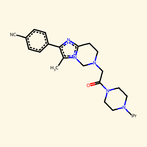 Cc1c(-c2ccc(C#N)cc2)nc2n1CN(CC(=O)N1CCN(C(C)C)CC1)CC2